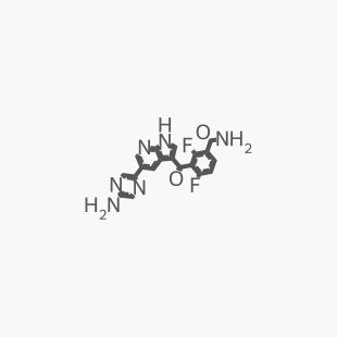 NC(=O)c1ccc(F)c(C(=O)c2c[nH]c3ncc(-c4cnc(N)cn4)cc23)c1F